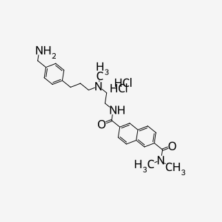 CN(CCCc1ccc(CN)cc1)CCNC(=O)c1ccc2cc(C(=O)N(C)C)ccc2c1.Cl.Cl